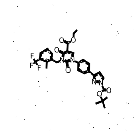 CCOC(=O)c1cn(-c2ccc(-c3ccn(C(=O)OC(C)(C)C)n3)cc2)c(=O)n(Cc2cccc(C(F)(F)F)c2C)c1=O